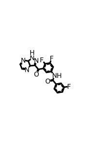 O=C(Nc1cc(F)c(F)c(C(=O)C2=NNC3N=CC=NC23)c1)c1cccc(F)c1